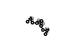 CC1(C)CN(c2ccccc2)C(c2cccc(-c3ccc4c(c3)Oc3cccc5c3B4c3ccc(-c4cccc(C6=NC(C)(C)CN6c6ccccc6)c4)cc3O5)c2)=N1